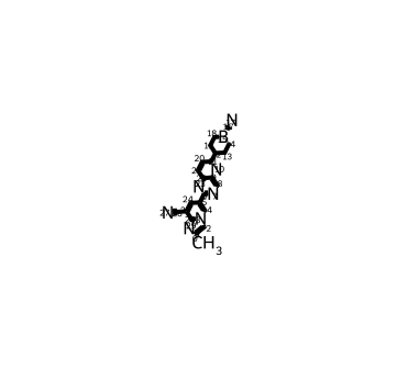 Cc1cn2cc(-c3ncc4nc(C5CCB(C#N)CC5)ccc4n3)cc(C#N)c2n1